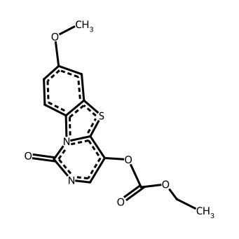 CCOC(=O)Oc1cnc(=O)n2c1sc1cc(OC)ccc12